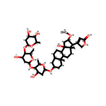 CC1OC(OC2C(O)CC(OC3C(O)CC(OC4CCC5(C)C(CCC6C5CCC5(C)C(C7=CC(=O)OC7)C(OC=O)CC65O)C4)OC3C)OC2C)CC(O)C1O